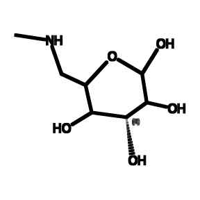 CNCC1OC(O)C(O)[C@H](O)C1O